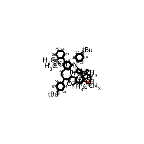 CCC(C)(C)c1cc2c(cc1C(C)C)N(c1ccc(C(C)(C)C)cc1)c1cc(C3=CC=CCC3[Si](C)(C)C)cc3c1B2C1=C(OCc2cc4c(cc21)C(C)(C)CCC4(C)C)C(c1ccc(C(C)(C)C)cc1)CC3